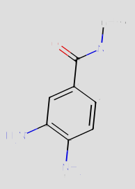 CCCCCCNC(=O)c1ccc(N)c(N)c1